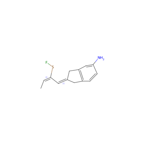 C/C=C(\C=C1\Cc2ccc(N)cc2C1)SF